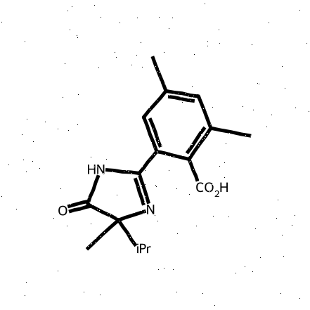 Cc1cc(C)c(C(=O)O)c(C2=NC(C)(C(C)C)C(=O)N2)c1